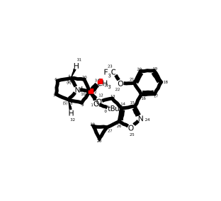 CC(C)(C)OC(=O)N1[C@@H]2CC[C@H]1CC(C)(OCc1c(-c3ccccc3OC(F)(F)F)noc1C1CC1)C2